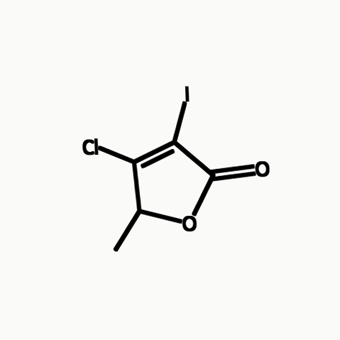 CC1OC(=O)C(I)=C1Cl